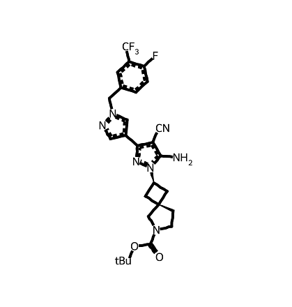 CC(C)(C)OC(=O)N1CC[C@]2(C1)C[C@H](n1nc(-c3cnn(Cc4ccc(F)c(C(F)(F)F)c4)c3)c(C#N)c1N)C2